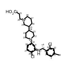 Cc1ccc([C@@H](C)Nc2cc(N3CCC(C4CCCN(CCC(=O)O)C4)CC3)ccc2Cl)c(Cl)c1